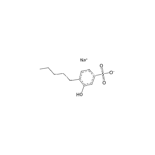 CCCCCc1ccc(S(=O)(=O)[O-])cc1O.[Na+]